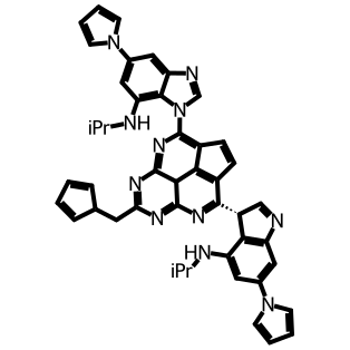 CC(C)Nc1cc(-n2cccc2)cc2c1[C@H](C1=NC3=NC(CC4C=CC=C4)=NC4=NC(n5cnc6cc(-n7cccc7)cc(NC(C)C)c65)=C5C=CC1=C5C34)C=N2